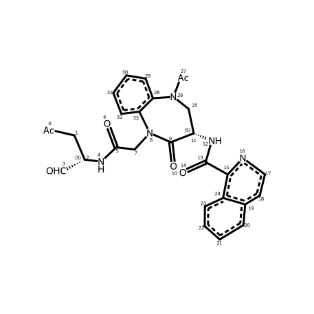 CC(=O)C[C@@H](C=O)NC(=O)CN1C(=O)[C@@H](NC(=O)c2nccc3ccccc23)CN(C(C)=O)c2ccccc21